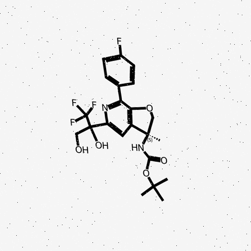 CC(C)(C)OC(=O)N[C@]1(C)COc2c1cc(C(O)(CO)C(F)(F)F)nc2-c1ccc(F)cc1